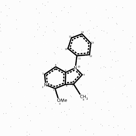 COc1nccc2c1c(C)cn2-c1ccccc1